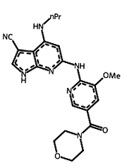 CCCNc1cc(Nc2ncc(C(=O)N3CCOCC3)cc2OC)nc2[nH]cc(C#N)c12